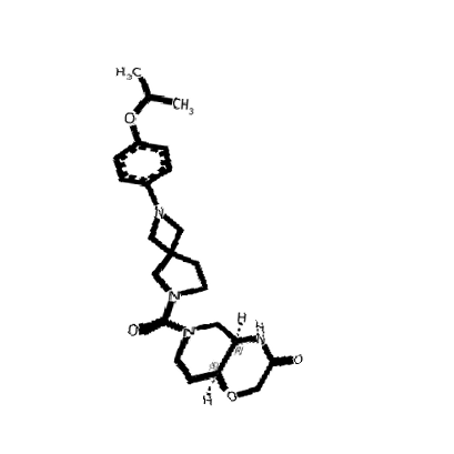 CC(C)Oc1ccc(N2CC3(CCN(C(=O)N4CC[C@@H]5OCC(=O)N[C@@H]5C4)C3)C2)cc1